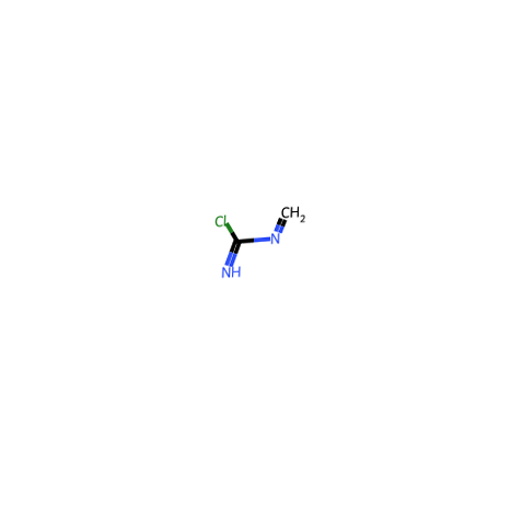 C=NC(=N)Cl